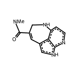 CNC(=O)C1=Cc2c[nH]c3nccc(c23)NC1